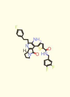 Nc1c(CCc2ccc(F)cc2)nc2c(c1-c1ccc(C(=O)NCc3ccc(F)c(F)c3)s1)C(=O)N1CCC[C@@H]21